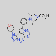 CC1CN(C(=O)O)CC(C)N1c1cccc(-c2cc(-c3cnnn3C3CCOCC3)c3c(N)ncnn23)c1